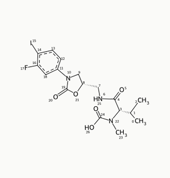 CC(C)[C@@H](C(=O)NC[C@H]1CN(c2ccc(I)c(F)c2)C(=O)O1)N(C)C(=O)O